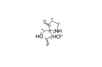 C=CCC1(CO)NCCC1=C.Cl